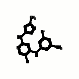 Cn1cc(Nc2ncc(Cl)c(Nc3cc(N)cc(Br)c3)n2)cn1